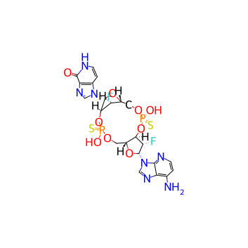 Nc1ccnc2c1ncn2[C@@H]1O[C@@H]2COP(O)(=S)O[C@@H]3[C@@H](F)[C@@H](COP(O)(=S)O[C@H]2[C@@H]1F)O[C@H]3n1cnc2c(=O)[nH]ccc21